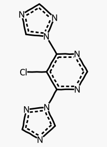 Clc1c(-n2cncn2)ncnc1-n1cncn1